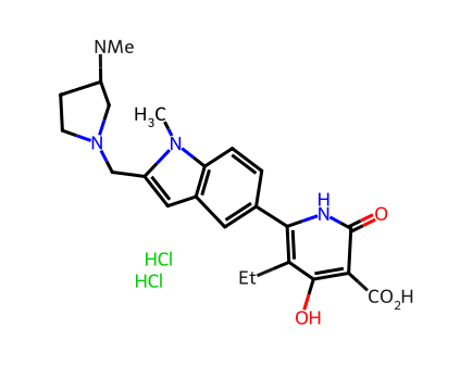 CCc1c(-c2ccc3c(c2)cc(CN2CCC(NC)C2)n3C)[nH]c(=O)c(C(=O)O)c1O.Cl.Cl